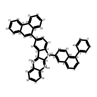 c1ccc(-c2cccc3cc(-n4c5ccc(-c6cc7ccccc7c7ccccc67)cc5c5nc6ccccc6nc54)ccc23)cc1